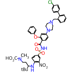 CN(CCC(Nc1ccc(S(=O)(=O)NC(=O)c2ccc(N3CCN(Cc4ccccc4-c4ccc(Cl)cc4)CC3)cc2Oc2ccccc2)cc1[N+](=O)[O-])C(C)(C)C)C(=O)O